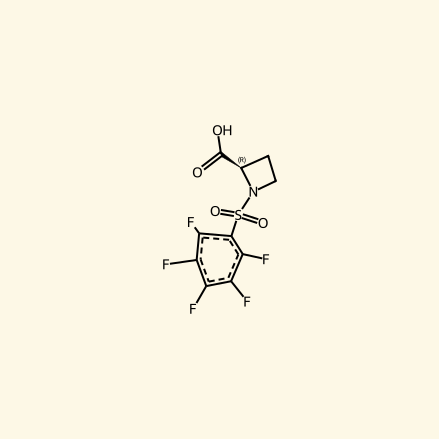 O=C(O)[C@H]1CCN1S(=O)(=O)c1c(F)c(F)c(F)c(F)c1F